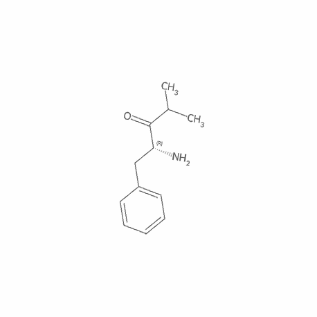 CC(C)C(=O)[C@H](N)Cc1ccccc1